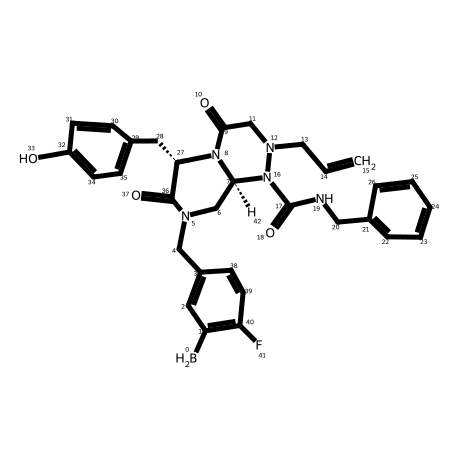 Bc1cc(CN2C[C@H]3N(C(=O)CN(CC=C)N3C(=O)NCc3ccccc3)[C@@H](Cc3ccc(O)cc3)C2=O)ccc1F